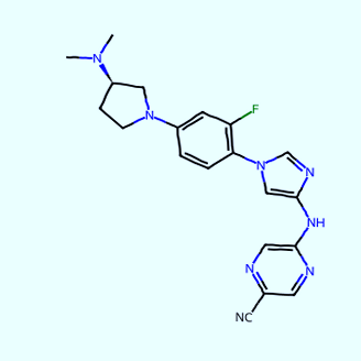 CN(C)[C@@H]1CCN(c2ccc(-n3cnc(Nc4cnc(C#N)cn4)c3)c(F)c2)C1